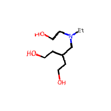 [CH2]CN(CCO)C[C](CCO)CCO